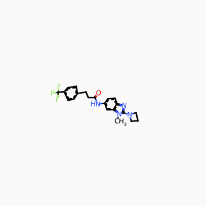 Cn1c(N2CCC2)nc2ccc(NC(=O)CCc3ccc(C(F)(F)F)cc3)cc21